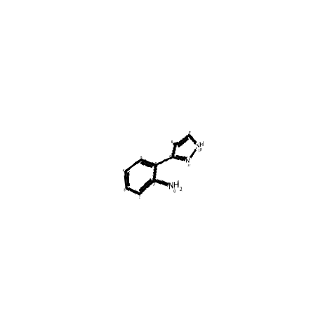 Nc1ccccc1-c1cc[nH]n1